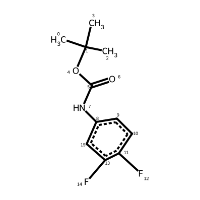 CC(C)(C)OC(=O)Nc1ccc(F)c(F)c1